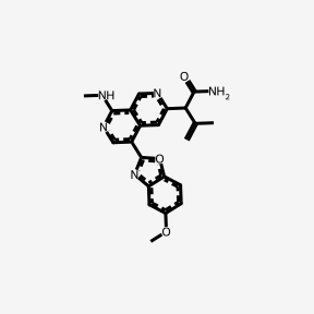 C=C(C)C(C(N)=O)c1cc2c(-c3nc4cc(OC)ccc4o3)cnc(NC)c2cn1